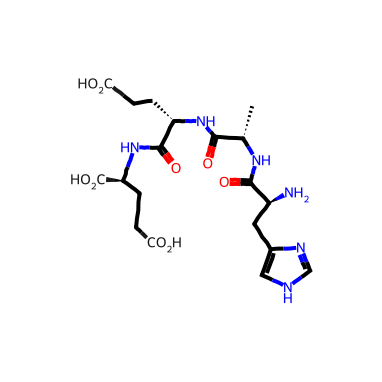 C[C@H](NC(=O)[C@@H](N)Cc1c[nH]cn1)C(=O)N[C@@H](CCC(=O)O)C(=O)N[C@@H](CCC(=O)O)C(=O)O